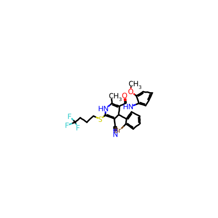 COc1ccccc1NC(=O)C1=C(C)NC(SCCCC(F)(F)F)=C(C#N)C1c1ccccc1Br